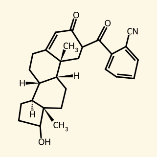 C[C@]12CC(C(=O)c3ccccc3C#N)C(=O)C=C1CC[C@@H]1[C@H]2CC[C@]2(C)C(O)CC[C@@H]12